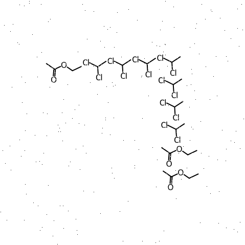 CC(Cl)Cl.CC(Cl)Cl.CC(Cl)Cl.CC(Cl)Cl.CC(Cl)Cl.CC(Cl)Cl.CC(Cl)Cl.CCOC(C)=O.CCOC(C)=O.CCOC(C)=O